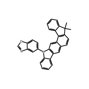 CC1(C)c2ccccc2-c2c1ccc1cc3c4ccccc4n(-c4ccc5ocnc5c4)c3cc21